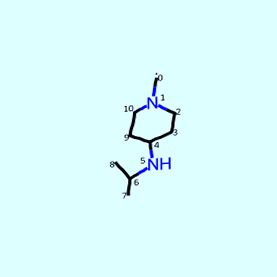 [CH2]N1CCC(NC(C)C)CC1